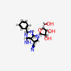 N#Cc1cn([C@@H]2O[C@H](CO)[C@@H](O)[C@H]2O)c2nc(-c3ccccc3)nc(N)c12